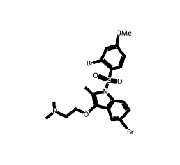 COc1ccc(S(=O)(=O)n2c(C)c(OCCN(C)C)c3cc(Br)ccc32)c(Br)c1